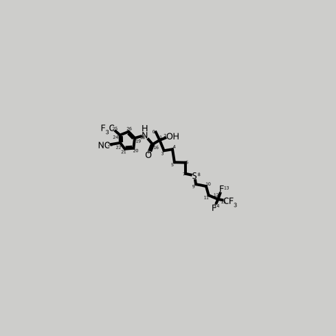 CC(O)(CCCCCSCCCC(F)(F)C(F)(F)F)C(=O)Nc1ccc(C#N)c(C(F)(F)F)c1